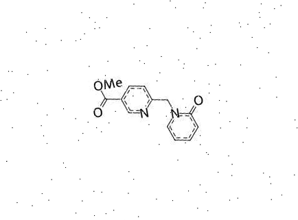 COC(=O)c1ccc(Cn2ccccc2=O)nc1